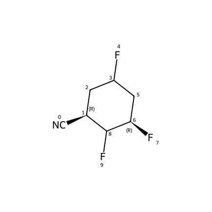 N#C[C@H]1CC(F)C[C@@H](F)C1F